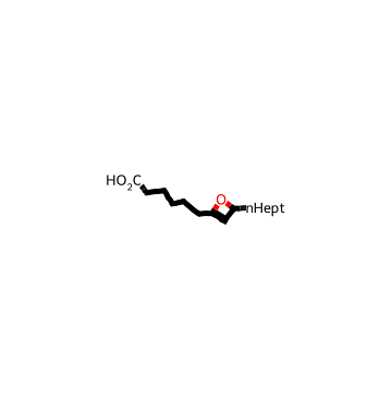 CCCCCCCC1C=C(CCCCCC(=O)O)O1